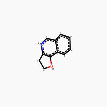 c1ccc2c3c(ncc2c1)CCO3